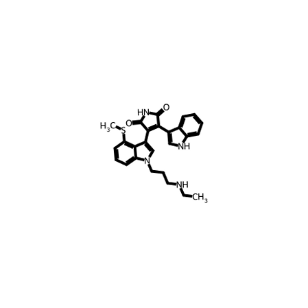 CCNCCCn1cc(C2=C(c3c[nH]c4ccccc34)C(=O)NC2=O)c2c(SC)cccc21